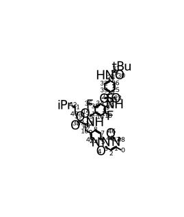 Cc1cc(=O)n(-c2ccc(C[C@H](NC(=O)c3cc(F)c(NS(=O)(=O)c4ccc(NC(=O)C(C)(C)C)cc4)cc3F)C(=O)OCCC(C)C)cn2)c(=O)n1C